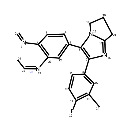 C=Nc1ccc(-c2c(-c3ccc(F)c(C)c3)nc3n2CCC3)cc1/N=C\C